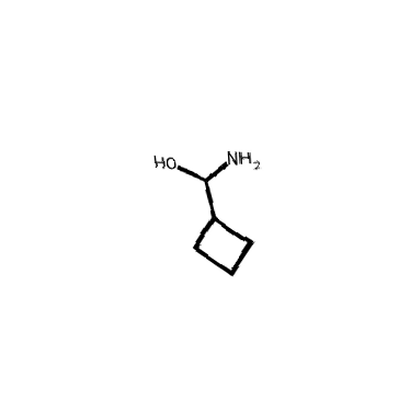 NC(O)C1CCC1